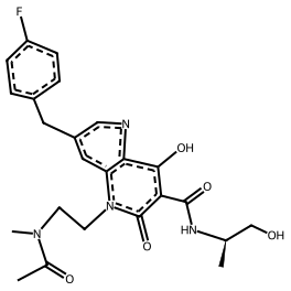 CC(=O)N(C)CCn1c(=O)c(C(=O)N[C@H](C)CO)c(O)c2ncc(Cc3ccc(F)cc3)cc21